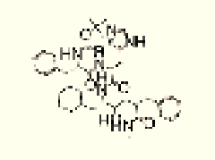 CNC(=O)C(Cc1ccccc1)CC(O)[C@H](CC1CCCCC1)NC(=O)[C@H](Cc1cnc[nH]1)NC(=O)[C@H](Cc1ccccc1)NC(=O)OC(C)(C)C